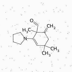 C=C1CC(C)(C)C=C(N2CCCC2)C1(C)C=O